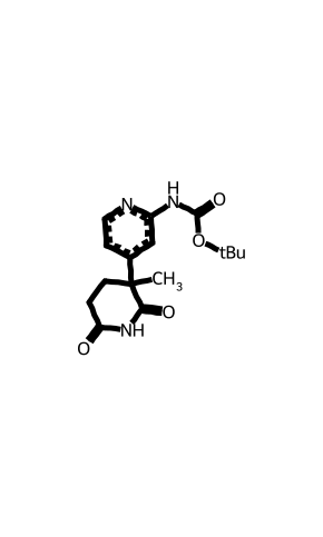 CC(C)(C)OC(=O)Nc1cc(C2(C)CCC(=O)NC2=O)ccn1